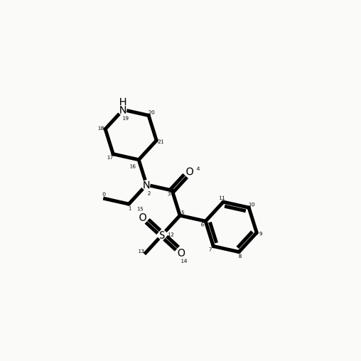 CCN(C(=O)C(c1ccccc1)S(C)(=O)=O)C1CCNCC1